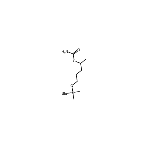 CC(CCCO[Si](C)(C)C(C)(C)C)OC(N)=O